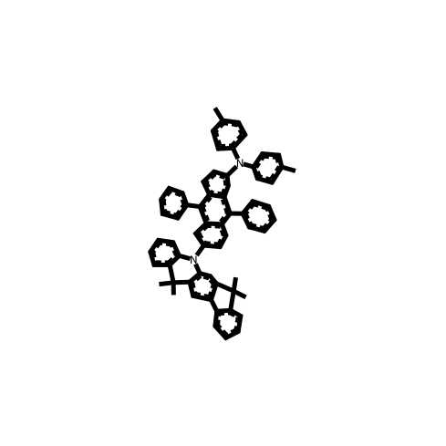 Cc1ccc(N(c2ccc(C)cc2)c2ccc3c(-c4ccccc4)c4cc(N5c6ccccc6C(C)(C)c6cc7c(cc65)C(C)(C)c5ccccc5-7)ccc4c(-c4ccccc4)c3c2)cc1